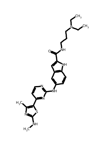 CCN(CC)CCCNC(=O)c1cc2cc(Nc3nccc(-c4sc(NC)nc4C)n3)ccc2[nH]1